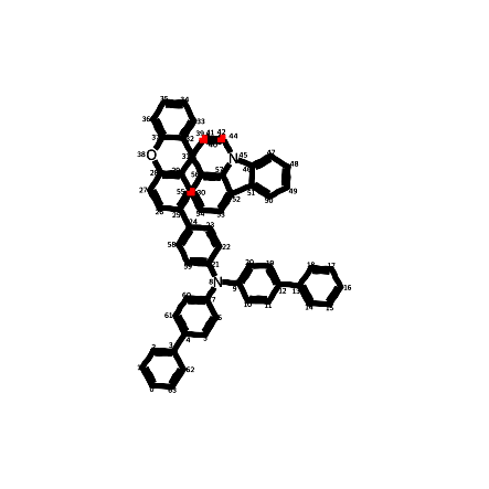 c1ccc(-c2ccc(N(c3ccc(-c4ccccc4)cc3)c3ccc(-c4ccc5c(c4)C4(c6ccccc6O5)c5ccccc5-n5c6ccccc6c6cccc4c65)cc3)cc2)cc1